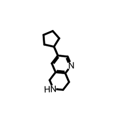 c1nc2c(cc1C1CCCC1)CNCC2